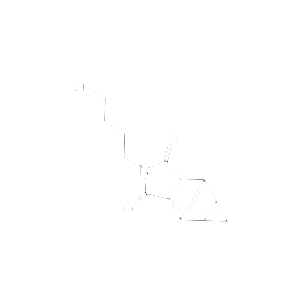 O=C1C2=C3C=CC(C2C(=O)N1CCCCBr)C1CC31